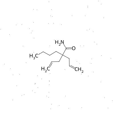 C=CCC(CC=C)(CCCC)C(N)=O